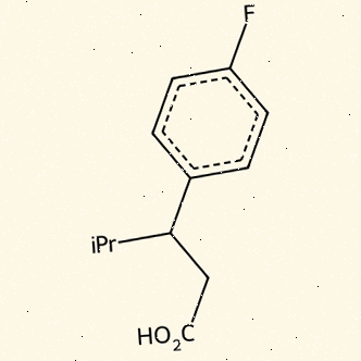 CC(C)C(CC(=O)O)c1ccc(F)cc1